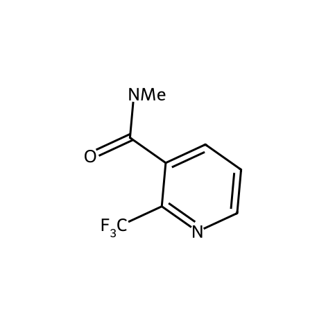 CNC(=O)c1cccnc1C(F)(F)F